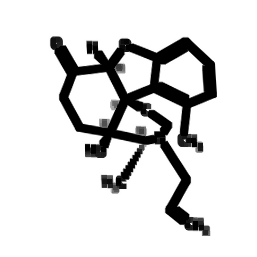 C=CCN1CC[C@]23c4c(C)cccc4O[C@H]2C(=O)CC[C@@]3(O)[C@H]1C